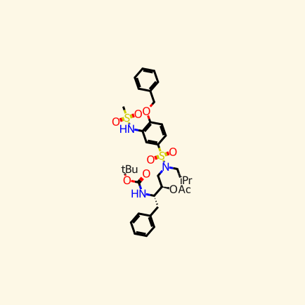 CC(=O)O[C@H](CN(CC(C)C)S(=O)(=O)c1ccc(OCc2ccccc2)c(NS(C)(=O)=O)c1)[C@H](Cc1ccccc1)NC(=O)OC(C)(C)C